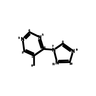 Cc1cncnc1-n1cncn1